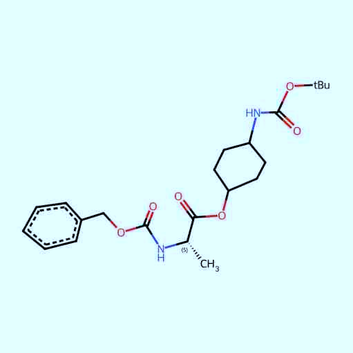 C[C@H](NC(=O)OCc1ccccc1)C(=O)OC1CCC(NC(=O)OC(C)(C)C)CC1